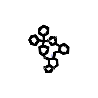 O=C1/C(=C/c2ccccc2-c2cn(C(c3ccccc3)(c3ccccc3)c3ccccc3)cn2)CCn2ccnc21